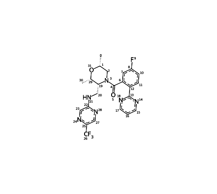 C[C@@H]1CN(C(=O)c2cc(F)ccc2-c2ncccn2)[C@H](CNc2cnc(C(F)(F)F)cn2)[C@H](C)O1